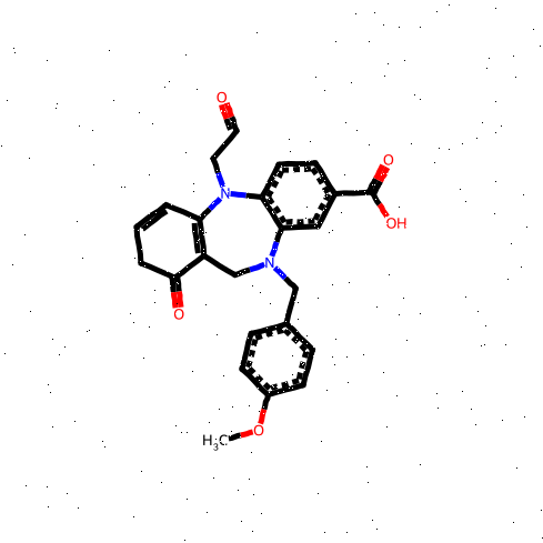 COc1ccc(CN2CC3=C(C=CCC3=O)N(CC=O)c3ccc(C(=O)O)cc32)cc1